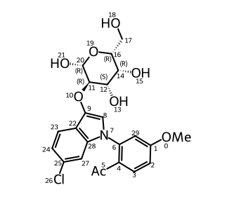 COc1ccc(C(C)=O)c(-n2cc(O[C@@H]3[C@@H](O)[C@@H](O)[C@@H](CO)O[C@H]3O)c3ccc(Cl)cc32)c1